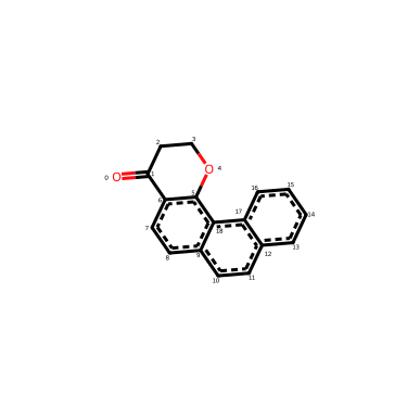 O=C1CCOc2c1ccc1ccc3ccccc3c21